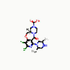 CC1CN(c2nc(Cl)c(Cl)c3c2C(=O)N2CCN(C(=O)O)C[C@@H]2CO3)C(C)CN1